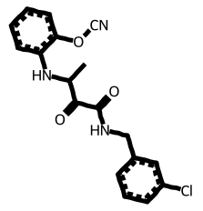 CC(Nc1ccccc1OC#N)C(=O)C(=O)NCc1cccc(Cl)c1